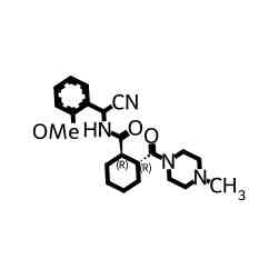 COc1ccccc1C(C#N)NC(=O)[C@@H]1CCCC[C@H]1C(=O)N1CCN(C)CC1